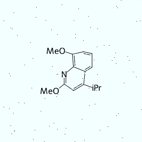 COc1cc(C(C)C)c2cccc(OC)c2n1